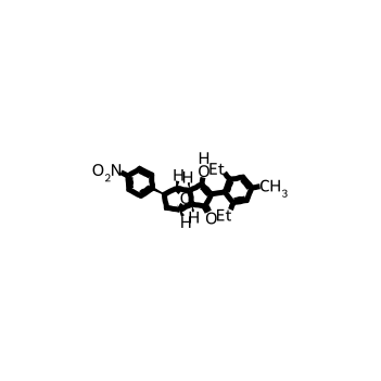 CCc1cc(C)cc(CC)c1C1=C(O)[C@@H]2[C@@H]3O[C@@H](C[C@H]3c3ccc([N+](=O)[O-])cc3)[C@@H]2C1=O